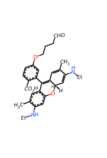 CCNC1=C[C@@H]2Oc3cc(NCC)c(C)cc3C(c3cc(OCCCC=O)ccc3C(=O)O)=C2C=C1C